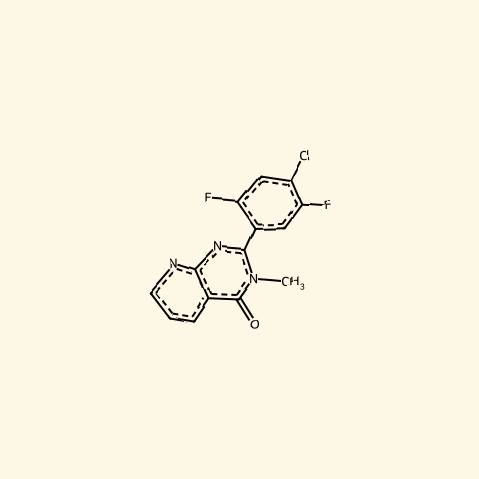 Cn1c(-c2cc(F)c(Cl)cc2F)nc2ncccc2c1=O